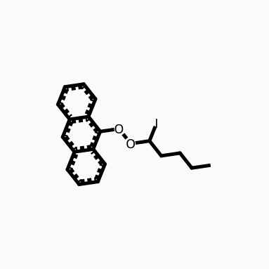 CCCCC(I)OOc1c2ccccc2cc2ccccc12